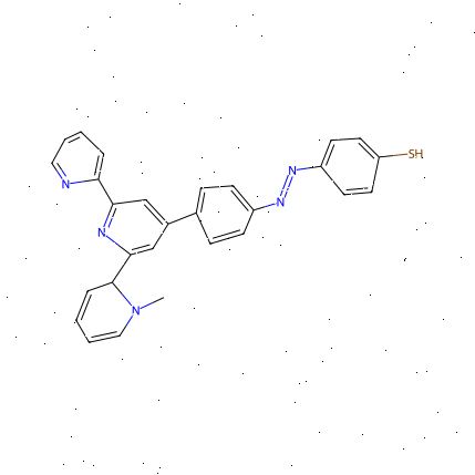 CN1C=CC=CC1c1cc(-c2ccc(/N=N/c3ccc(S)cc3)cc2)cc(-c2ccccn2)n1